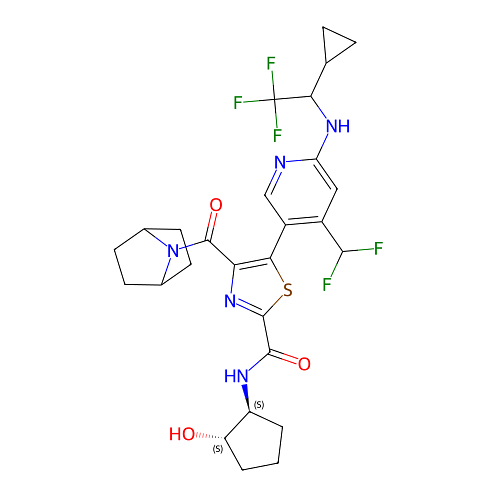 O=C(N[C@H]1CCC[C@@H]1O)c1nc(C(=O)N2C3CCC2CC3)c(-c2cnc(NC(C3CC3)C(F)(F)F)cc2C(F)F)s1